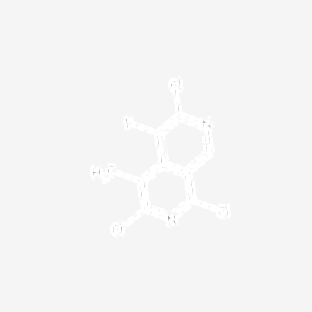 Cc1c(Cl)nc(Cl)c2cnc(Cl)c(F)c12